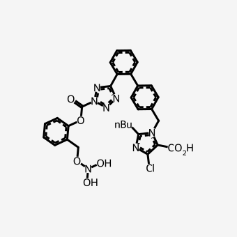 CCCCc1nc(Cl)c(C(=O)O)n1Cc1ccc(-c2ccccc2-c2nnn(C(=O)Oc3ccccc3CON(O)O)n2)cc1